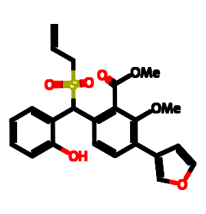 C=CCS(=O)(=O)C(c1ccccc1O)c1ccc(-c2ccoc2)c(OC)c1C(=O)OC